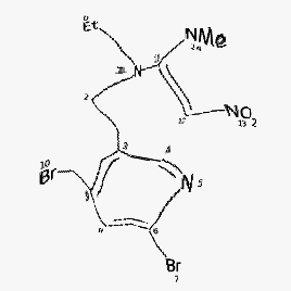 CCN(Cc1cnc(Br)cc1Br)C(=C[N+](=O)[O-])NC